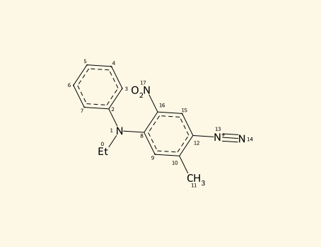 CCN(c1ccccc1)c1cc(C)c([N+]#N)cc1[N+](=O)[O-]